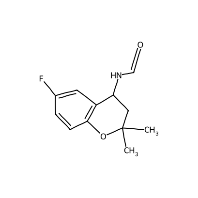 CC1(C)CC(NC=O)c2cc(F)ccc2O1